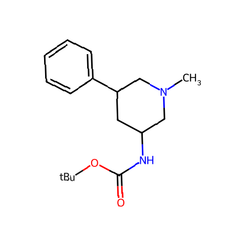 CN1CC(NC(=O)OC(C)(C)C)CC(c2ccccc2)C1